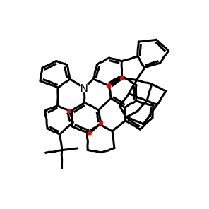 CC(C)(C)c1ccc(-c2ccccc2N(c2ccc3c(c2)C2(c4ccccc4-3)C3CC4CC5CC2C53C4)c2ccccc2-c2cccc3cccc(C4CCCCC4)c23)cc1